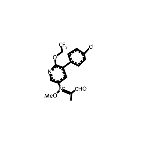 CO/[N+](=C(\C)C=O)c1cnc(OCC(F)(F)F)c(-c2ccc(Cl)cc2)c1